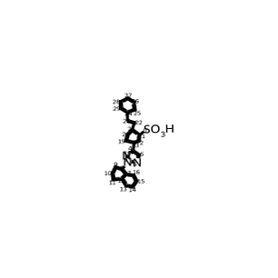 O=S(=O)(O)c1cc(-c2cnn(-c3cccc4ccccc34)n2)ccc1C=Cc1ccccc1